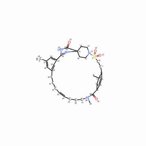 Cc1cc2ccc1CCS(=O)(=O)N1CCC3(CC1)N=C(NC3=O)c1cc(cc(C(F)(F)F)c1)CCCC=CCCCN(C)C2=O